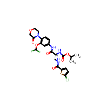 CC(C)OC(=O)N[C@H](CNC(=O)c1ccc(Cl)s1)C(=O)Nc1ccc(N2CCOCC2=O)c(OC(F)F)c1